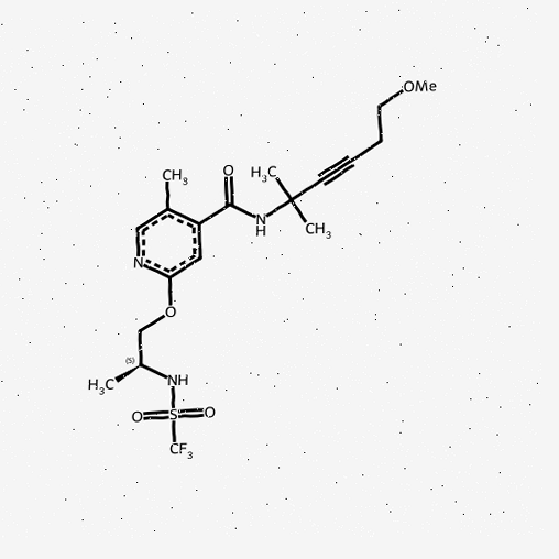 COCCC#CC(C)(C)NC(=O)c1cc(OC[C@H](C)NS(=O)(=O)C(F)(F)F)ncc1C